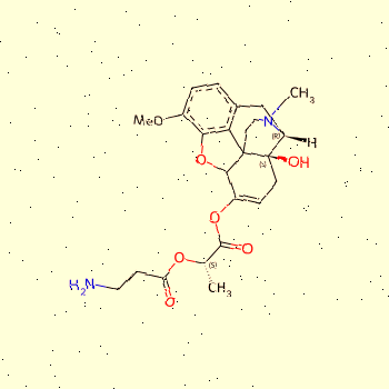 COc1ccc2c3c1OC1C(OC(=O)[C@H](C)OC(=O)CCN)=CC[C@@]4(O)[C@@H](C2)N(C)CCC314